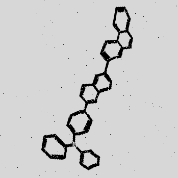 c1ccc(N(c2ccccc2)c2ccc(-c3ccc4cc(-c5ccc6c(ccc7ccccc76)c5)ccc4c3)cc2)cc1